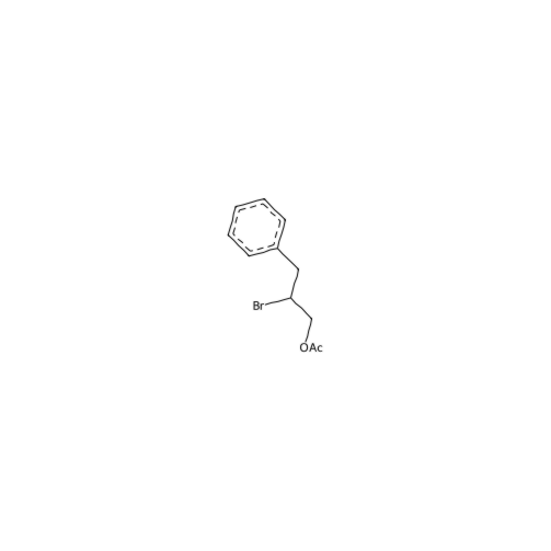 CC(=O)OCC(Br)Cc1ccccc1